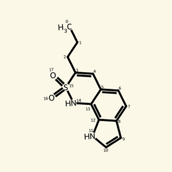 CCCC1=Cc2ccc3cc[nH]c3c2NS1(=O)=O